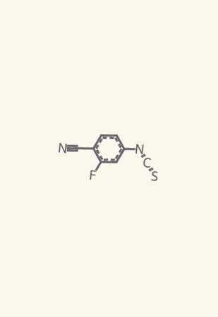 N#Cc1ccc(N=C=S)cc1F